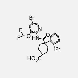 CC(C)c1ccccc1C1(C(=O)Nc2ncc(Br)cc2OC(F)F)CCC(C(=O)O)CC1